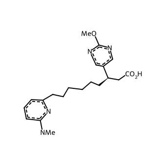 CNc1cccc(CCCCCC[C@H](CC(=O)O)c2cnc(OC)nc2)n1